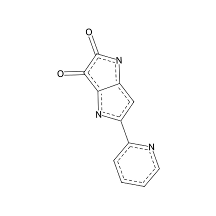 O=c1nc2cc(-c3ccccn3)nc-2c1=O